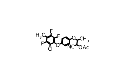 CC(=O)OC(C#N)C(C)Oc1ccc(Oc2c(F)c(F)c(C)c(F)c2Cl)cc1